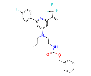 C=C(c1cc(N(CCC)CCNC(=O)OCc2ccccc2)cc(-c2ccc(F)cc2)n1)C(F)(F)F